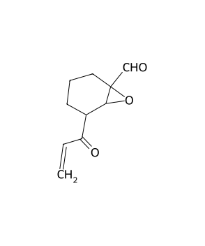 C=CC(=O)C1CCCC2(C=O)OC12